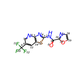 O=C(Nc1nc2ncc(C(F)(F)F)cc2s1)c1ncco1